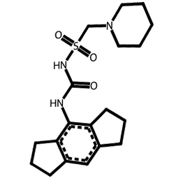 O=C(Nc1c2c(cc3c1CCC3)CCC2)NS(=O)(=O)CN1CCCCC1